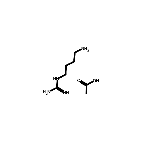 CC(=O)O.N=C(N)NCCCCN